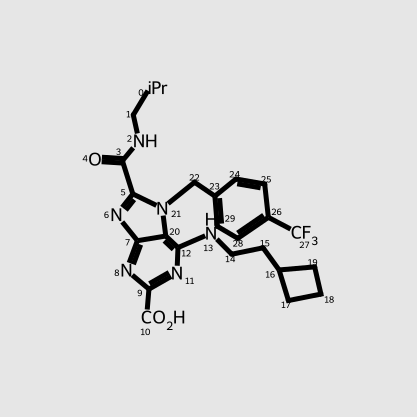 CC(C)CNC(=O)c1nc2nc(C(=O)O)nc(NCCC3CCC3)c2n1Cc1ccc(C(F)(F)F)cc1